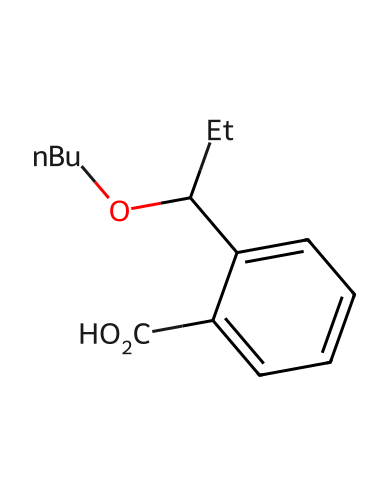 CCCCOC(CC)c1ccccc1C(=O)O